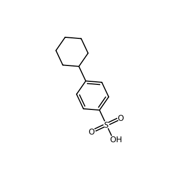 O=S(=O)(O)c1ccc(C2CCCCC2)cc1